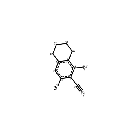 N#Cc1c(Br)cc2c(c1Br)CCCC2